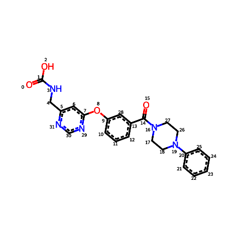 O=C(O)NCc1cc(Oc2cccc(C(=O)N3CCN(c4ccccc4)CC3)c2)ncn1